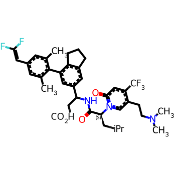 Cc1cc(C=C(F)F)cc(C)c1-c1cc(C(CC(=O)O)NC(=O)[C@H](CC(C)C)n2cc(CCN(C)C)c(C(F)(F)F)cc2=O)cc2c1CCC2